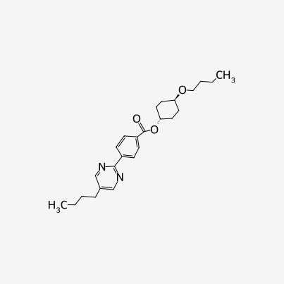 CCCCO[C@H]1CC[C@H](OC(=O)c2ccc(-c3ncc(CCCC)cn3)cc2)CC1